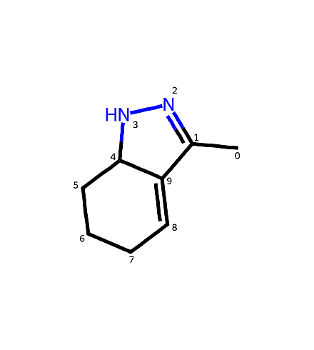 CC1=NNC2CCCC=C12